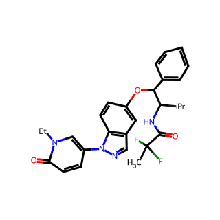 CCn1cc(-n2ncc3cc(OC(c4ccccc4)C(NC(=O)C(C)(F)F)C(C)C)ccc32)ccc1=O